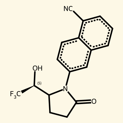 N#Cc1cccc2cc(N3C(=O)CCC3[C@H](O)C(F)(F)F)ccc12